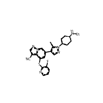 CCNC1CCC(n2ncc(-c3cc(Sc4ncccc4F)c4c(C#N)cnn4c3)c2C)CC1